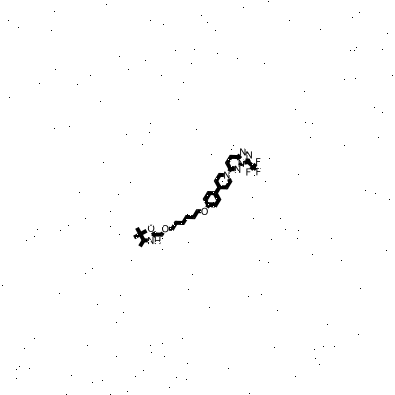 CC(NC(=O)COCCCCCCOc1ccc(C2CCN(C3=Nn4c(nnc4C(F)(F)F)CC3)CC2)cc1)C(C)(C)C